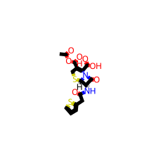 CC(=O)OC(O)C1=C(C(=O)O)N2C(=O)[C@H](NC(=O)Cc3cccs3)[C@H]2SC1